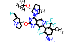 [2H]C([2H])([2H])OC[C@@]12CC[C@@H](CN(c3nc(OC[C@@]45CCCN4C/C(=C\F)C5)nc4c(F)c(-c5c(F)c(N)cc(C)c5C(F)(F)F)ncc34)C1)N2